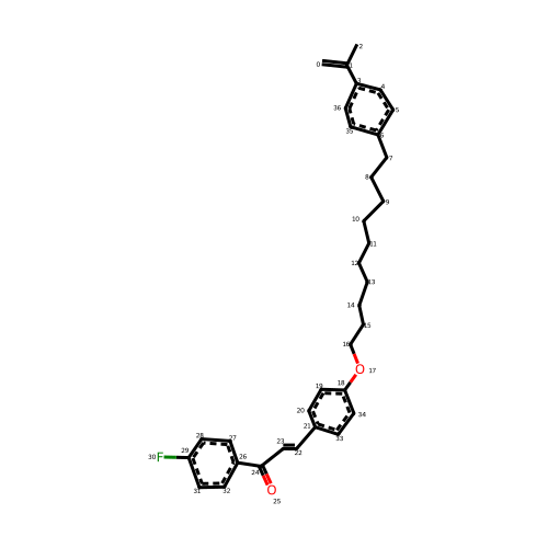 C=C(C)c1ccc(CCCCCCCCCCOc2ccc(C=CC(=O)c3ccc(F)cc3)cc2)cc1